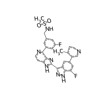 Cc1ccncc1-c1cc(F)c2[nH]nc(-c3nc4c(-c5cc(F)cc(CNS(C)(=O)=O)c5)nccc4[nH]3)c2c1